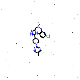 Cc1cnc(N2CCC(c3nnc4n3-c3ccc(Cl)cc3CN(C)C4)CC2)nc1